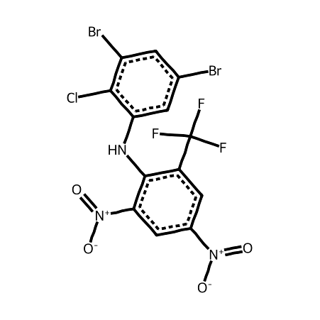 O=[N+]([O-])c1cc([N+](=O)[O-])c(Nc2cc(Br)cc(Br)c2Cl)c(C(F)(F)F)c1